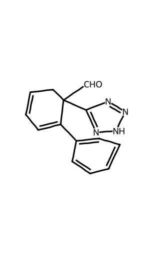 O=CC1(c2nn[nH]n2)CC=CC=C1c1ccccc1